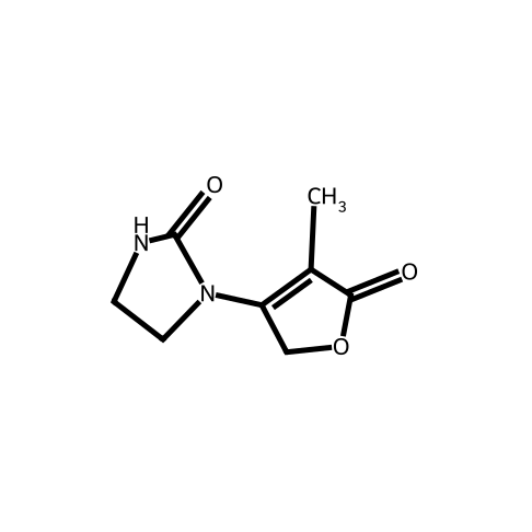 CC1=C(N2CCNC2=O)COC1=O